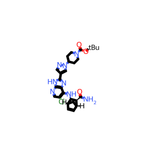 CC(C)(C)OC(=O)N1CCC(n2cc(-c3nc4c(N[C@H]5[C@@H](C(N)=O)[C@@H]6C=C[C@H]5C6)c(Cl)cnc4[nH]3)cn2)CC1